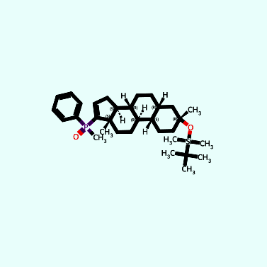 CC(C)(C)[Si](C)(C)O[C@]1(C)CC[C@H]2[C@H](CC[C@@H]3[C@@H]2CC[C@]2(C)C(P(C)(=O)c4ccccc4)=CC[C@@H]32)C1